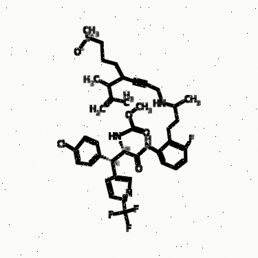 C=C(C)C(C)C(C#CCNC(C)CCc1c(F)cccc1NC(=O)[C@@H](NC(=O)OC)[C@@H](c1ccc(Cl)cc1)c1ccc(C(F)(F)F)nc1)CCC[S+](C)[O-]